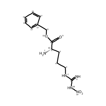 N=C(NCCC[C@H](N)C(=O)OCc1ccccc1)N[N+](=O)[O-]